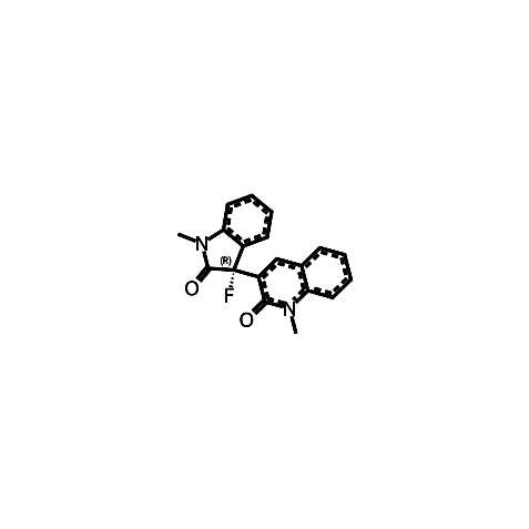 CN1C(=O)[C@](F)(c2cc3ccccc3n(C)c2=O)c2ccccc21